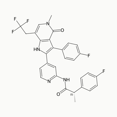 C[C@H](C(=O)Nc1cc(-c2[nH]c3c(CC(F)(F)F)cn(C)c(=O)c3c2-c2ccc(F)cc2)ccn1)c1ccc(F)cc1